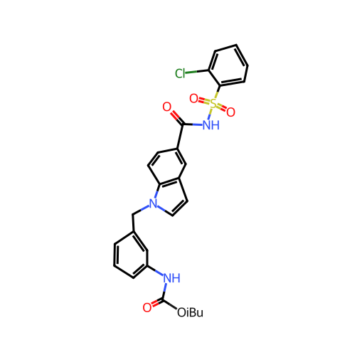 CC(C)COC(=O)Nc1cccc(Cn2ccc3cc(C(=O)NS(=O)(=O)c4ccccc4Cl)ccc32)c1